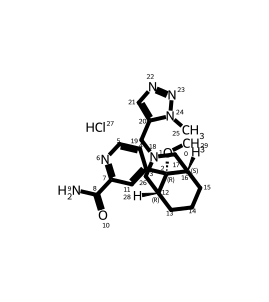 CO[C@@]1(c2ccnc(C(N)=O)c2)[C@@H]2CCC[C@H]1CN(Cc1cnnn1C)C2.Cl